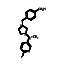 C[C@H](c1ccc(F)nc1)[C@H]1CC[C@@H](Cc2ccc(C(=O)O)cc2)C1